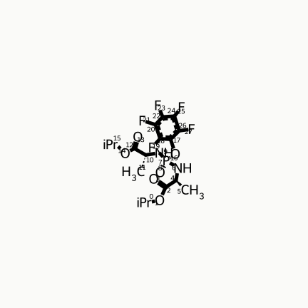 CC(C)OC(=O)[C@H](C)NP(=O)(N[C@H](C)C(=O)OC(C)C)Oc1c(F)c(F)c(F)c(F)c1F